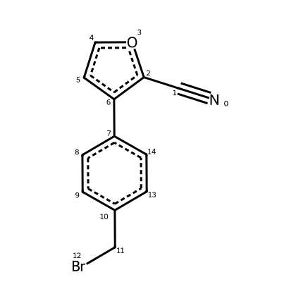 N#Cc1occc1-c1ccc(CBr)cc1